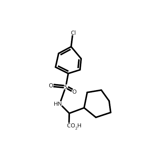 O=C(O)C(NS(=O)(=O)c1ccc(Cl)cc1)C1CCCCC1